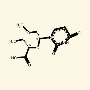 CC[C@H](O[C@H](COC)n1ccc(=O)[nH]c1=O)C(=O)O